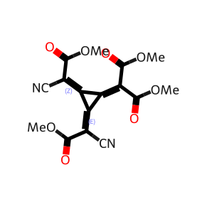 COC(=O)C(C(=O)OC)=C1C(=C(/C#N)C(=O)OC)/C1=C(/C#N)C(=O)OC